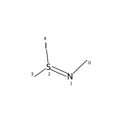 CN=S(C)I